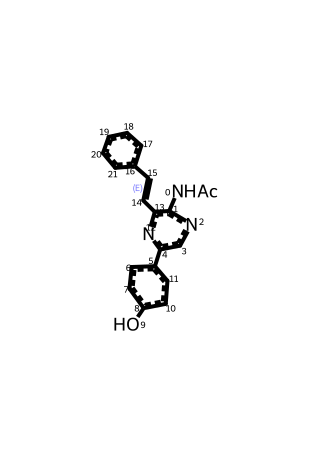 CC(=O)Nc1ncc(-c2ccc(O)cc2)nc1/C=C/c1ccccc1